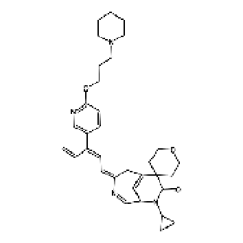 C=C/C(=C\C=C1/CC2=CC(C=N1)N(C1CC1)C(=O)C21CCOCC1)c1ccc(OCCCN2CCCCC2)nc1